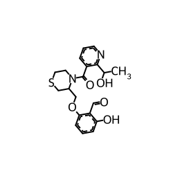 CC(O)c1ncccc1C(=O)N1CCSCC1COc1cccc(O)c1C=O